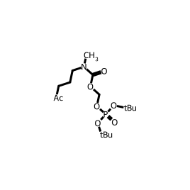 CC(=O)CCCN(C)C(=O)OCOP(=O)(OC(C)(C)C)OC(C)(C)C